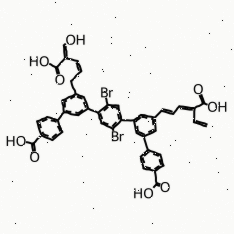 C=C/C(=C\C=C\c1cc(-c2ccc(C(=O)O)cc2)cc(-c2cc(Br)c(-c3cc(C/C=C\C(=C/O)C(=O)O)cc(-c4ccc(C(=O)O)cc4)c3)cc2Br)c1)C(=O)O